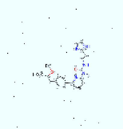 CCOC(Cc1ccc(-c2cccc(N(C)C(=O)NCCc3ncc[nH]3)n2)cc1)C(=O)O